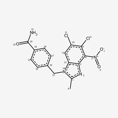 Cc1nc2c([N+](=O)[O-])c(Cl)c(Cl)cc2n1Cc1ccc(C(N)=O)cc1